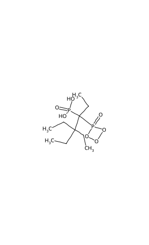 CCC(CC)(CC)C(CC)(P(=O)(O)O)P1(=O)OOO1